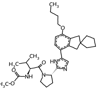 CCCCOc1ccc(-c2cnc([C@@H]3CCCN3C(=O)[C@@H](NC(=O)OC)C(C)C)[nH]2)c2c1CC1(CCCC1)C2